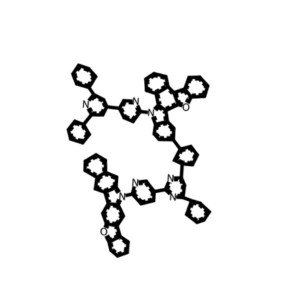 c1ccc(-c2cc(-c3ccc(-n4c5ccc(-c6cccc(-c7cc(-c8ccccc8)nc(-c8ccc(-n9c%10cc%11ccccc%11cc%10c%10cc%11oc%12ccccc%12c%11cc%109)nc8)n7)c6)cc5c5c6oc7ccccc7c6c6ccccc6c54)nc3)cc(-c3ccccc3)n2)cc1